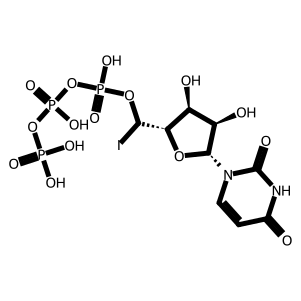 O=c1ccn([C@@H]2O[C@H](C(I)OP(=O)(O)OP(=O)(O)OP(=O)(O)O)[C@@H](O)[C@H]2O)c(=O)[nH]1